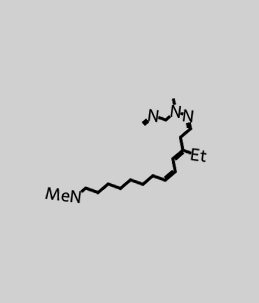 C=NCN(C)/N=C\C/C(=C/C=C\CCCCCCCNC)CC